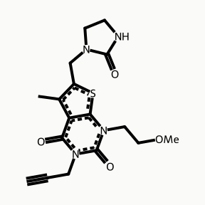 C#CCn1c(=O)c2c(C)c(CN3CCNC3=O)sc2n(CCOC)c1=O